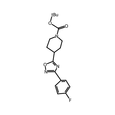 CC(C)(C)OC(=O)N1CCC(c2nc(-c3ccc(F)cc3)no2)CC1